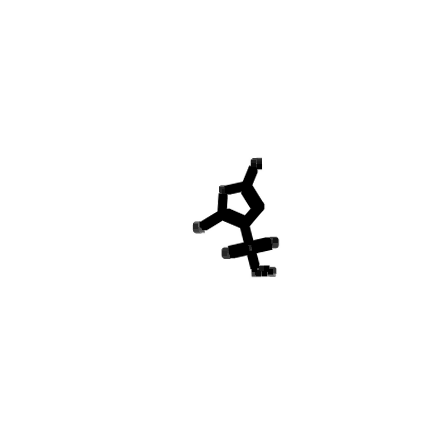 CNS(=O)(=O)c1cc(Cl)sc1Cl